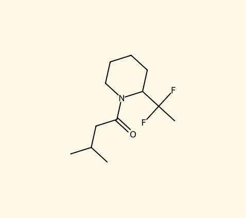 CC(C)CC(=O)N1CCCCC1C(C)(F)F